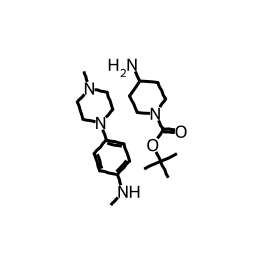 CC(C)(C)OC(=O)N1CCC(N)CC1.CNc1ccc(N2CCN(C)CC2)cc1